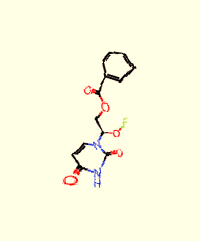 O=C(OC[C@@H](OF)n1ccc(=O)[nH]c1=O)c1ccccc1